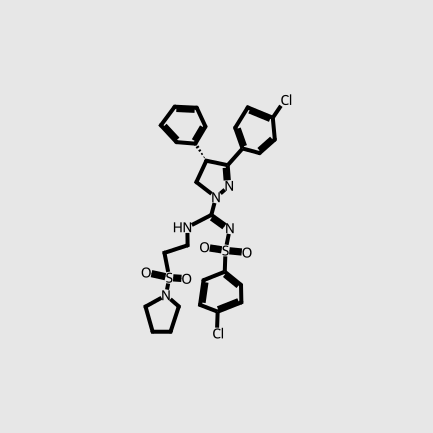 O=S(=O)(/N=C(\NCCS(=O)(=O)N1CCCC1)N1C[C@H](c2ccccc2)C(c2ccc(Cl)cc2)=N1)c1ccc(Cl)cc1